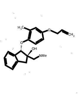 C=CCOc1ccc(O[C@H]2c3ccccc3C[C@@]2(O)CNC)c(C)c1